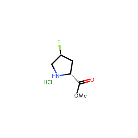 COC(=O)[C@H]1C[C@H](F)CN1.Cl